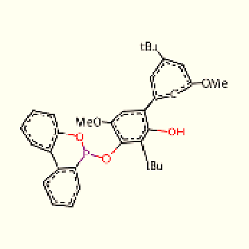 COc1cc(-c2cc(OC)c(OP3Oc4ccccc4-c4ccccc43)c(C(C)(C)C)c2O)cc(C(C)(C)C)c1